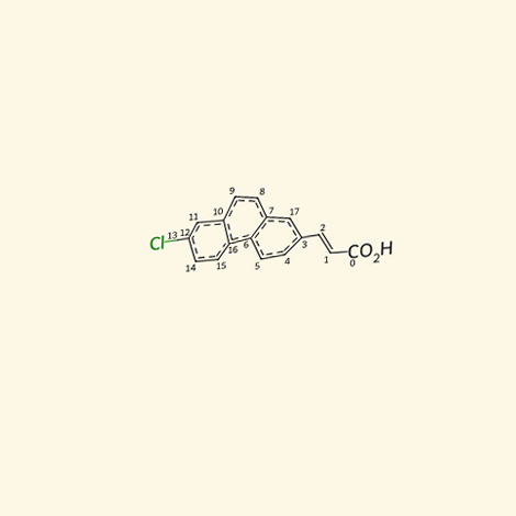 O=C(O)C=Cc1ccc2c(ccc3cc(Cl)ccc32)c1